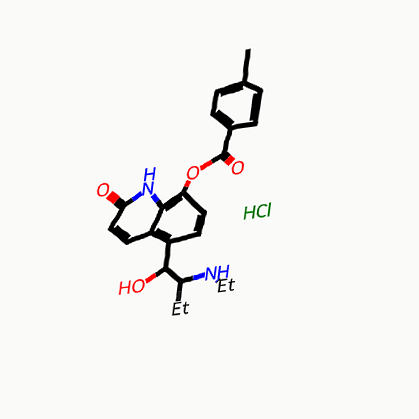 CCNC(CC)C(O)c1ccc(OC(=O)c2ccc(C)cc2)c2[nH]c(=O)ccc12.Cl